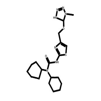 CN1N=NNC1SCc1csc(NC(=O)N(C2CCCCC2)C2CCCCC2)n1